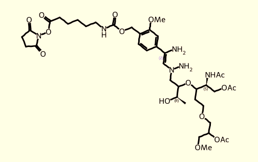 COCC(COCCC(OC(CN(N)/C=C(\N)c1ccc(COC(=O)NCCCCCC(=O)ON2C(=O)CCC2=O)c(OC)c1)[C@@H](C)O)[C@H](COC(C)=O)NC(C)=O)OC(C)=O